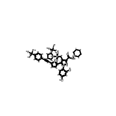 O=C(NN1CCCCC1)c1nn(-c2ccc(Cl)cc2Cl)c(-c2ccc(C#Cc3ccc(C(F)(F)F)cc3)s2)c1CS(=O)(=O)N1CCC[C@H]1C(F)(F)F